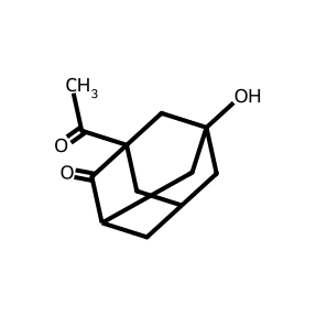 CC(=O)C12CC3CC(CC(O)(C3)C1)C2=O